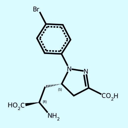 N[C@H](C[C@H]1CC(C(=O)O)=NN1c1ccc(Br)cc1)C(=O)O